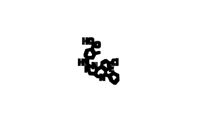 Cc1cc(Nc2ncc3c(n2)-c2ccc(Cl)cc2C(C2=CC=CCC2F)=NC3)ccc1C(=O)O